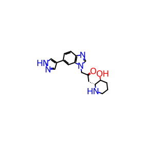 O=C(C[C@H]1NCCC[C@@H]1O)Cn1cnc2ccc(-c3cn[nH]c3)cc21